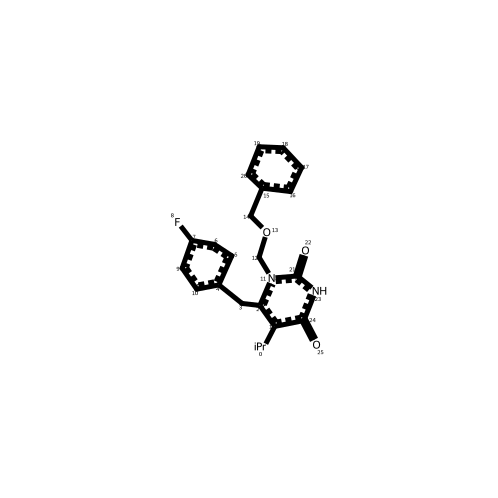 CC(C)c1c(Cc2ccc(F)cc2)n(COCc2ccccc2)c(=O)[nH]c1=O